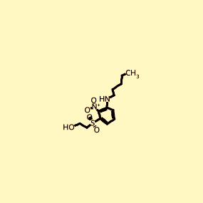 CCCCCNc1cccc(S(=O)(=O)CCO)c1[N+](=O)[O-]